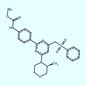 C[C@H]1COCCN1c1cc(CS(=O)(=O)c2ccccc2)nc(-c2ccc(NC(=O)OC(C)(C)C)cc2)n1